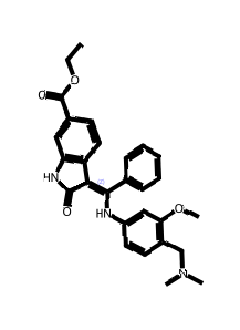 CCOC(=O)c1ccc2c(c1)NC(=O)/C2=C(\Nc1ccc(CN(C)C)c(OC)c1)c1ccccc1